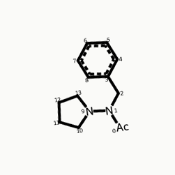 CC(=O)N(Cc1ccccc1)N1CCCC1